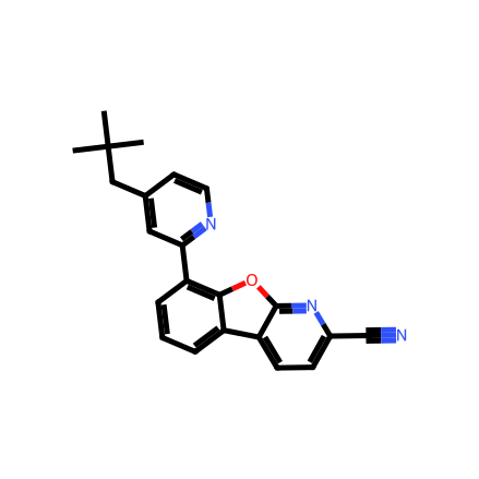 CC(C)(C)Cc1ccnc(-c2cccc3c2oc2nc(C#N)ccc23)c1